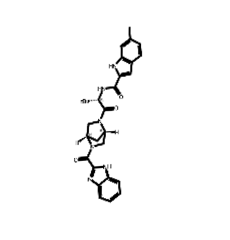 Cc1ccc2cc(C(=O)N[C@H](C(=O)N3C[C@@H]4C[C@H]3CN4C(=O)c3nc4ccccc4[nH]3)C(C)(C)C)[nH]c2c1